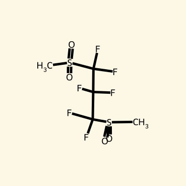 CS(=O)(=O)C(F)(F)C(F)(F)C(F)(F)S(C)(=O)=O